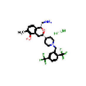 Cc1ccc2c(c1O)C[C@@H](C1CCN(Cc3cc(C(F)(F)F)ccc3C(F)(F)F)CC1)O[C@H]2CN.Cl.Cl